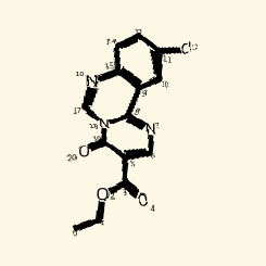 CCOC(=O)c1cnc2c3cc(Cl)ccc3ncn2c1=O